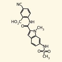 Cn1c(C(=O)Nc2ccc(C#N)cc2C(=O)O)cc2ccc(NS(C)(=O)=O)cc21